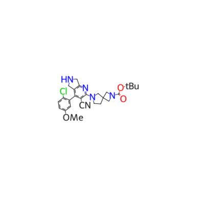 COc1ccc(Cl)c(-c2c(C#N)c(N3CCC4(CN(C(=O)OC(C)(C)C)C4)C3)nc3c2CNC3)c1